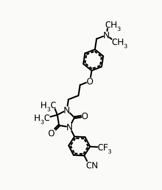 CN(C)Cc1ccc(OCCCN2C(=O)N(c3ccc(C#N)c(C(F)(F)F)c3)C(=O)C2(C)C)cc1